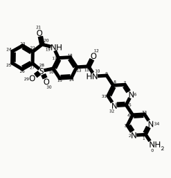 Nc1ncc(-c2ncc(CNC(=O)c3ccc4c(c3)NC(=O)c3ccccc3S4(=O)=O)cn2)cn1